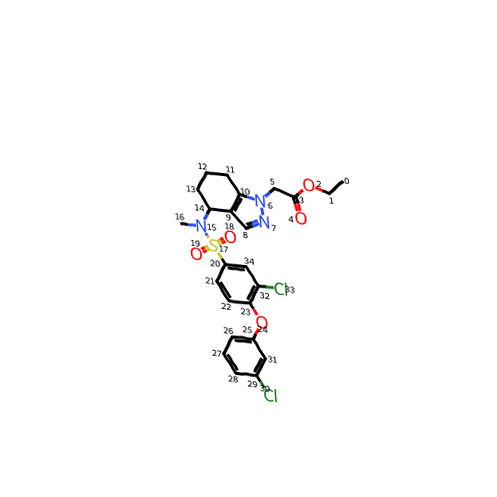 CCOC(=O)Cn1ncc2c1CCCC2N(C)S(=O)(=O)c1ccc(Oc2cccc(Cl)c2)c(Cl)c1